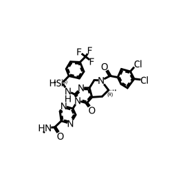 CNC(=O)c1cnc(-n2c(N[Si@@H](C)c3ccc(C(F)(F)F)cc3)nc3c(c2=O)C[C@@H](C)N(C(=O)c2ccc(Cl)c(Cl)c2)C3)cn1